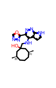 C[C@@H]1CCC[C@H](C)CC(O)(CNc2c(-c3nnco3)nnc3[nH]ccc23)C1